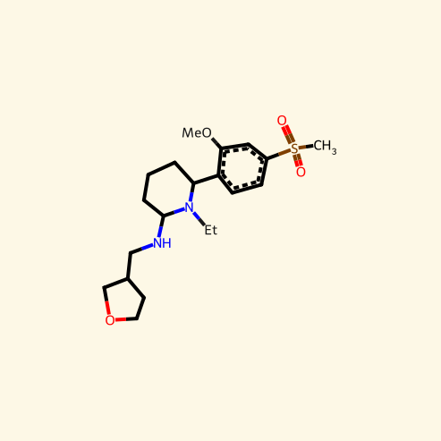 CCN1C(NCC2CCOC2)CCCC1c1ccc(S(C)(=O)=O)cc1OC